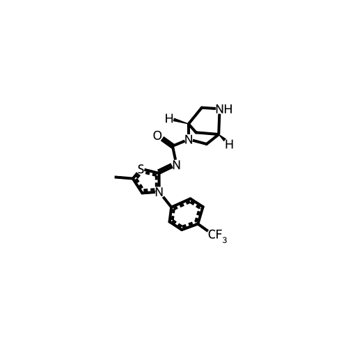 Cc1cn(-c2ccc(C(F)(F)F)cc2)c(=NC(=O)N2C[C@@H]3C[C@H]2CN3)s1